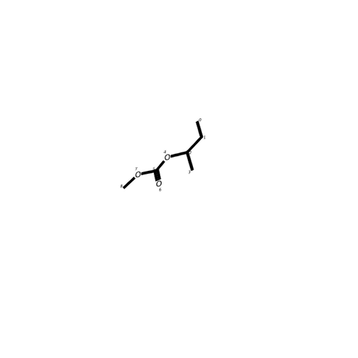 CC[C](C)OC(=O)OC